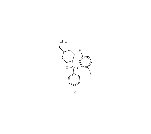 O=CC[C@H]1CC[C@@](c2cc(F)ccc2F)(S(=O)(=O)c2ccc(Cl)cc2)CC1